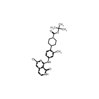 Cc1cc(Nc2nc(Cl)cc3cc[nH]c(=O)c23)ccc1C1CCN(C(=O)OC(C)(C)C)CC1